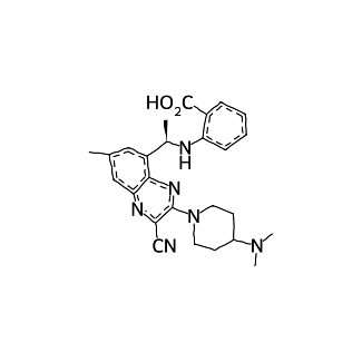 Cc1cc([C@@H](C)Nc2ccccc2C(=O)O)c2nc(N3CCC(N(C)C)CC3)c(C#N)nc2c1